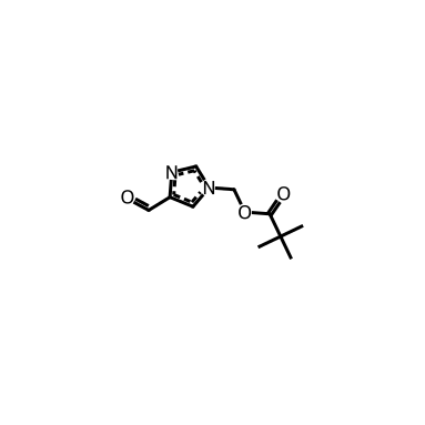 CC(C)(C)C(=O)OCn1cnc(C=O)c1